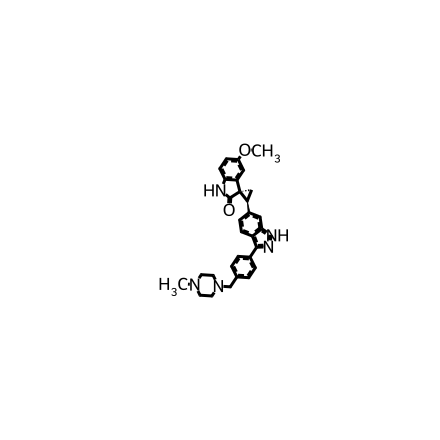 COc1ccc2c(c1)[C@]1(C[C@H]1c1ccc3c(-c4ccc(CN5CCN(C)CC5)cc4)n[nH]c3c1)C(=O)N2